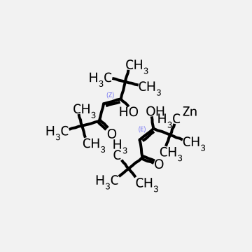 CC(C)(C)C(=O)/C=C(/O)C(C)(C)C.CC(C)(C)C(=O)/C=C(\O)C(C)(C)C.[Zn]